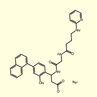 O=C([O-])CC(NC(=O)CNC(=O)CCCNc1ccccn1)c1ccc(-c2cccc3ccccc23)cc1O.[Na+]